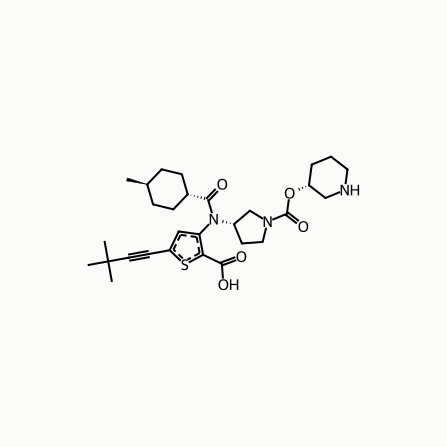 CC(C)(C)C#Cc1cc(N(C(=O)[C@H]2CC[C@H](C)CC2)[C@H]2CCN(C(=O)O[C@@H]3CCCNC3)C2)c(C(=O)O)s1